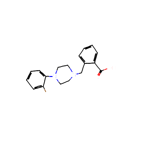 O=C(O)c1ccccc1CN1CCN(c2ccccc2Br)CC1